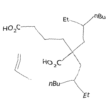 CCCCC(CC)CC(CCCC(=O)O)(CC(CC)CCCC)C(=O)O.[CH2]C=C